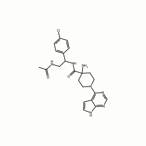 CC(=O)NCC(NC(=O)C1(N)CCN(c2ncnc3[nH]ccc23)CC1)c1ccc(Cl)cc1